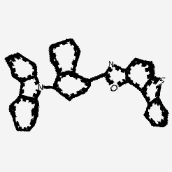 c1ccc2c(c1)sc1ccc3nc(-c4ccc(-n5c6ccccc6c6ccccc65)c5ccccc45)oc3c12